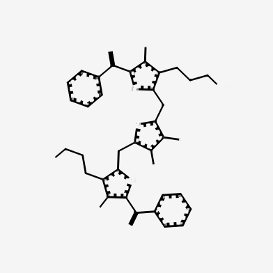 CCc1c(Cc2[nH]c(C(=O)c3ccccc3)c(C)c2CCCOC(C)=O)[nH]c(Cc2[nH]c(C(=O)c3ccccc3)c(C)c2CCCOC(C)=O)c1CC